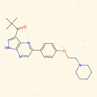 CC(C)(C)C(=O)c1c[nH]c2ncc(-c3ccc(OCCN4CCCCC4)cc3)nc12